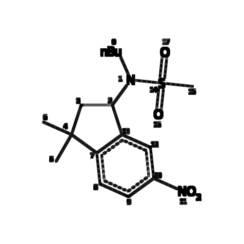 CCCCN(C1CC(C)(C)c2ccc([N+](=O)[O-])cc21)S(C)(=O)=O